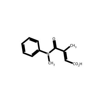 CC(=CC(=O)O)C(=O)N(C)c1ccccc1